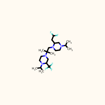 CC(C)N1CCN(CC(C)(C)N2CCN(C(C)C)C(C(F)(F)F)C2)C(CC(F)F)C1